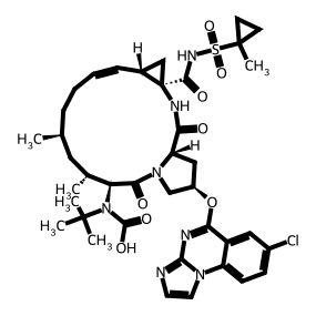 C[C@H]1CCC=C[C@@H]2C[C@@]2(C(=O)NS(=O)(=O)C2(C)CC2)NC(=O)[C@@H]2C[C@@H](Oc3nc4nccn4c4ccc(Cl)cc34)CN2C(=O)[C@@H](N(C(=O)O)C(C)(C)C)[C@H](C)C1